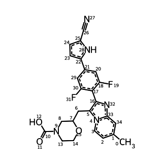 Cc1ccn2c(CC3CN(C(=O)O)CCO3)c(-c3c(F)cc(-c4ccc(C#N)[nH]4)cc3F)nc2c1